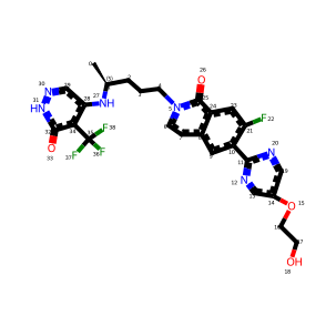 C[C@@H](CCCn1ccc2cc(-c3ncc(OCCO)cn3)c(F)cc2c1=O)Nc1cn[nH]c(=O)c1C(F)(F)F